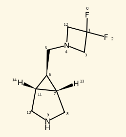 FC1(F)CN(C[C@H]2[C@@H]3CNC[C@@H]32)C1